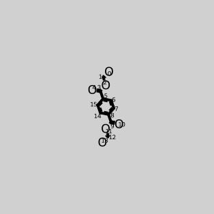 O=COC(=O)c1ccc(C(=O)OC=O)cc1